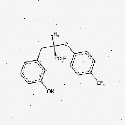 CCOC(=O)[C@](C)(Cc1cccc(O)c1)Oc1ccc(C(F)(F)F)cc1